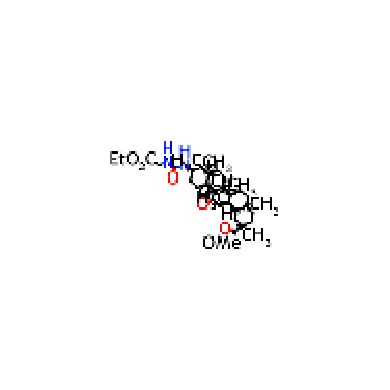 CCOC(=O)CNC(=O)NC1CC[C@]2(C)[C@H]3C(=O)C=C4[C@H]5C[C@@](C)(C(=O)OC)CC[C@]5(C)CC[C@@]4(C)[C@]3(C)CC[C@H]2C1(C)C